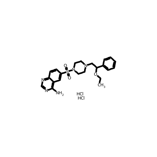 CCOC(CN1CCN(S(=O)(=O)c2ccc3ncnc(N)c3c2)CC1)c1ccccc1.Cl.Cl